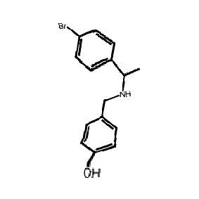 CC(NCc1ccc(O)cc1)c1ccc(Br)cc1